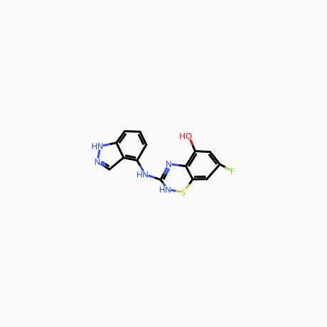 Oc1cc(F)cc2c1N=C(Nc1cccc3[nH]ncc13)NS2